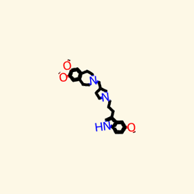 COc1ccc2[nH]cc(CCCN3CCC(CN4CCc5cc(OC)c(OC)cc5CC4)C3)c2c1